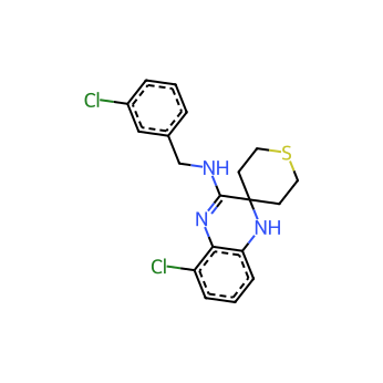 Clc1cccc(CNC2=Nc3c(Cl)cccc3NC23CCSCC3)c1